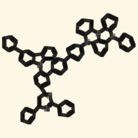 c1ccc(-c2ccc3c(c2)c2ccccc2n3-c2ccc(-c3cc(-c4ccccc4)nc(-c4ccccc4)n3)cc2-c2ccc(-c3ccc(N4c5ccccc5B5c6ccccc6N(c6ccccc6)c6cccc4c65)cc3)cc2)cc1